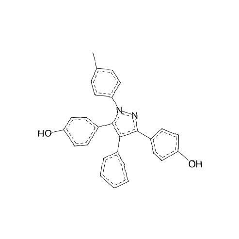 Cc1ccc(-n2nc(-c3ccc(O)cc3)c(-c3ccccc3)c2-c2ccc(O)cc2)cc1